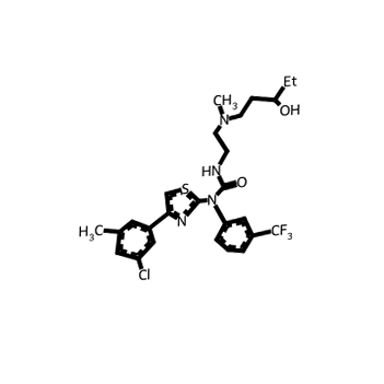 CCC(O)CCN(C)CCNC(=O)N(c1cccc(C(F)(F)F)c1)c1nc(-c2cc(C)cc(Cl)c2)cs1